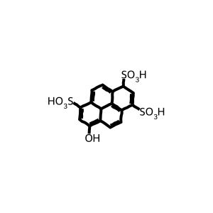 O=S(=O)(O)C1=CC(O)=C2C=CC3=C4C(=CC=C1C24)C(S(=O)(=O)O)C=C3S(=O)(=O)O